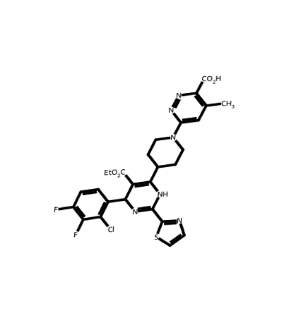 CCOC(=O)C1=C(C2CCN(c3cc(C)c(C(=O)O)nn3)CC2)NC(c2nccs2)=NC1c1ccc(F)c(F)c1Cl